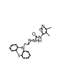 Cc1noc(NC(=O)NN=CCN2c3ccccc3Sc3ccccc32)c1C